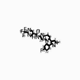 Cn1cc(-c2ccc3nc(NC(=O)c4cnc(C(F)(F)F)nc4)cn3n2)c(C2=CC=C(F)CC2)n1